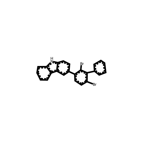 Brc1ccc(-c2ccc3[nH]c4ccccc4c3c2)c(Br)c1-c1ccccc1